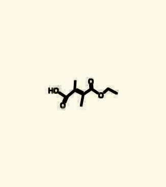 CCOC(=O)/C(C)=C(\C)C(=O)O